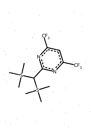 CS(C)(C)C(c1nc(C(F)(F)F)cc(C(F)(F)F)n1)S(C)(C)C